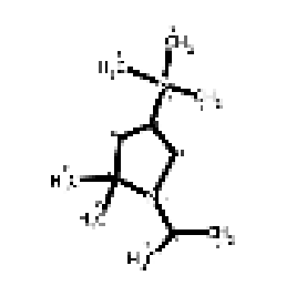 CC(C)N1CC(S(C)(C)C)CC1(C)C